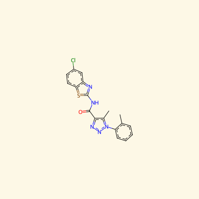 Cc1ccccc1-n1nnc(C(=O)Nc2nc3cc(Cl)ccc3s2)c1C